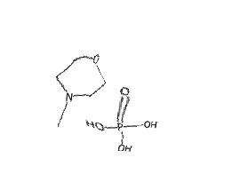 CN1CCOCC1.O=P(O)(O)O